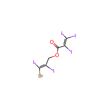 O=C(OCC(I)=C(Br)I)C(I)=C(I)I